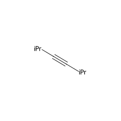 [CH2]C(C)C#CC([CH2])C